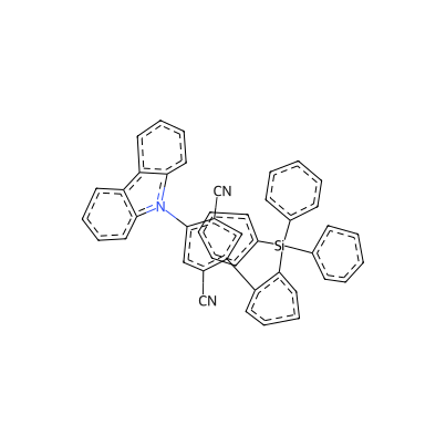 N#Cc1cc(-n2c3ccccc3c3ccccc32)c(C#N)cc1-c1ccccc1[Si](c1ccccc1)(c1ccccc1)c1ccccc1